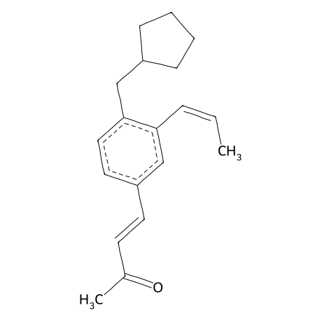 C/C=C\c1cc(/C=C/C(C)=O)ccc1CC1CCCC1